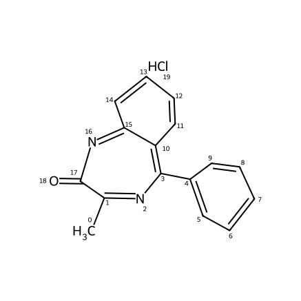 Cc1nc(-c2ccccc2)c2ccccc2nc1=O.Cl